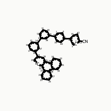 N#Cc1ccc(-c2ccc(-c3cccc(-c4cccc(-c5ccc6c7ccccc7c7ccccc7c6c5)c4)c3)cc2)cc1